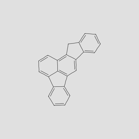 c1ccc2c(c1)Cc1c-2cc2c3c(cccc13)-c1ccccc1-2